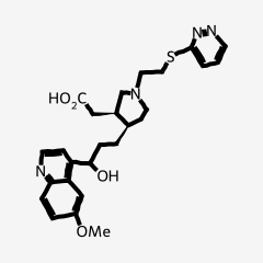 COc1ccc2nccc(C(O)CC[C@@H]3CCN(CCSc4cccnn4)C[C@@H]3CC(=O)O)c2c1